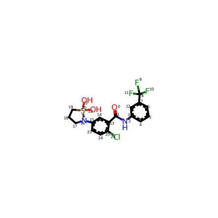 O=C(Nc1cccc(C(F)(F)F)c1)c1cc(N2CCCS2(O)O)ccc1Cl